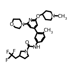 Cc1ccc(NC(=O)N2CCC(CC(F)(F)F)C2)cc1-c1cc(OC2CCN(C)CC2)nc(N2CCOCC2)c1